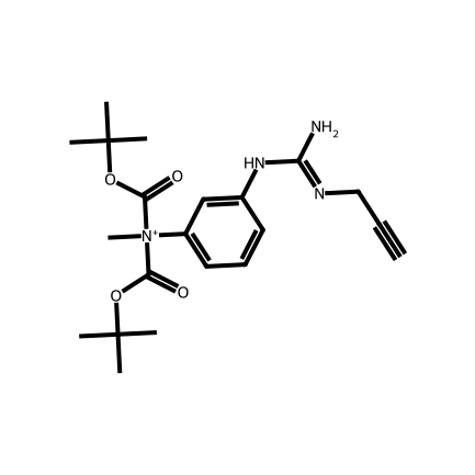 C#CCN=C(N)Nc1cccc([N+](C)(C(=O)OC(C)(C)C)C(=O)OC(C)(C)C)c1